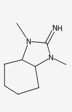 CN1C(=N)N(C)C2CCCCC21